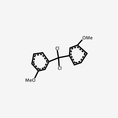 COc1cccc(C(Cl)(Cl)c2cccc(OC)c2)c1